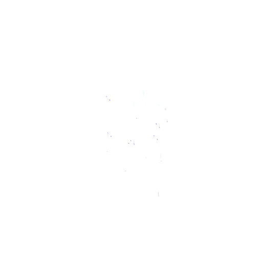 COc1ccc(C)c(-n2c(N)c(C#N)c3c(C(F)(F)F)n(C)nc32)c1C